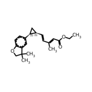 CCOC(=O)C=C(C)C=C[C@@H]1C[C@@H]1c1ccc2c(c1)C(C)(C)CO2